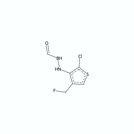 O=CBNc1c(CF)csc1Cl